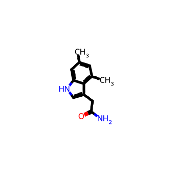 Cc1cc(C)c2c(CC(N)=O)c[nH]c2c1